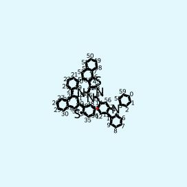 c1ccc(-n2c3ccccc3c3ccc(-c4nc(-n5c6ccccc6c6c7ccccc7c7sc8ccccc8c7c65)c5c(n4)sc4c6ccccc6ccc45)cc32)cc1